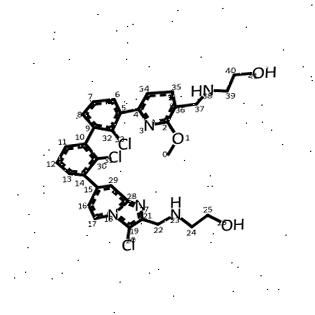 COc1nc(-c2cccc(-c3cccc(-c4ccn5c(Cl)c(CNCCO)nc5c4)c3Cl)c2Cl)ccc1CNCCO